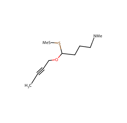 CC#CCOC(CCCNC)SSC